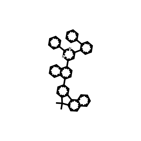 CC1(C)c2ccc(-c3ccc(-c4cc(-c5ccccc5-c5ccccc5)nc(-c5ccccc5)n4)c4ccccc34)cc2-c2c1ccc1ccccc21